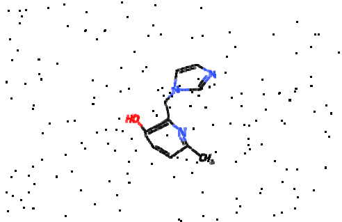 Cc1ccc(O)c(Cn2ccnc2)n1